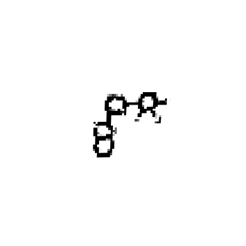 Fc1c(-c2cccc(-c3ncc4ccccc4n3)n2)ccc(Cl)c1Cl